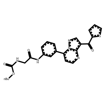 CCCCOC(=O)NCC(=O)Nc1cccc(-c2ccnc3c(C(=O)c4cccs4)cnn23)c1